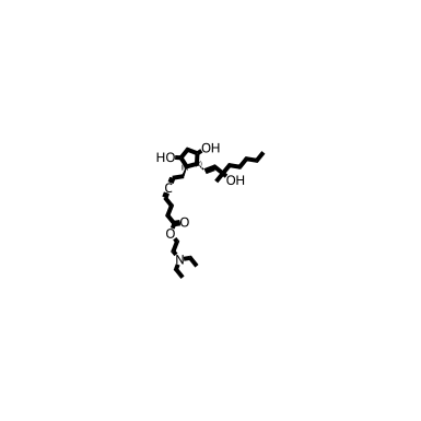 CCCCCC(C)(O)C=C[C@H]1C(O)CC(O)[C@@H]1CC=C=CCCC(=O)OCCN(CC)CC